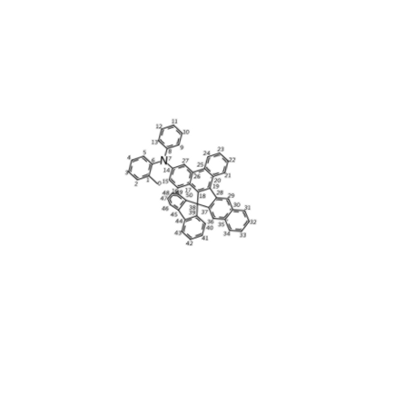 Cc1ccccc1N(c1ccccc1)c1ccc2c3c(c4ccccc4c2c1)-c1cc2ccccc2cc1C31c2ccccc2-c2ccccc21